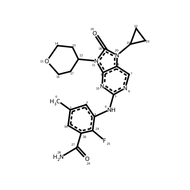 Cc1cc(Nc2ncc3c(n2)n(C2CCOCC2)c(=O)n3C2CC2)c(F)c(C(N)=O)c1